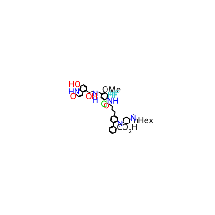 CCCCCCN(C)[C@H]1CC[C@H](N(C(=O)O)c2cc(CCCC(=O)Nc3cc(OC)c(CNCC(O)c4ccc(O)c5[nH]c(=O)ccc45)cc3Cl)ccc2-c2ccccc2)CC1.F.F